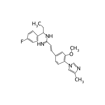 CCC(NC(=N)/C=C/c1ccc(-n2cnc(C)c2)c(OC)c1)c1ccc(F)cc1